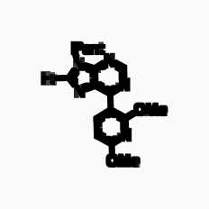 CCCC(C)n1c(CC)nc2c(-c3ccc(OC)nc3OC)ncnc21